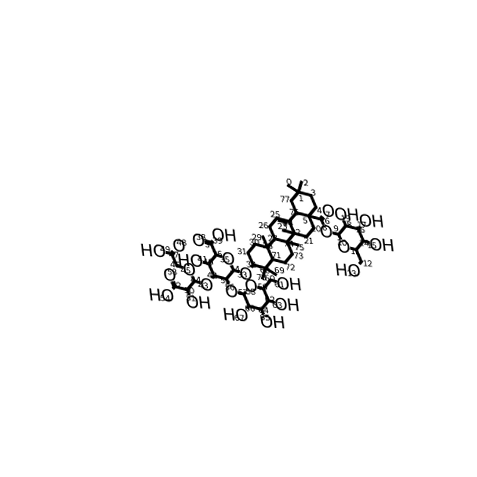 CC1(C)CCC2(C(=O)OC3OC(CO)C(O)C(O)C3O)CCC3(C)C(=CCC4C5(C)CCC(OC6OC(C(=O)O)C(O)C(OC(OCC(=O)O)C(O)C(=O)O)C6OC6OC(CO)C(O)C(O)C6O)C(C)(C)C5CCC43C)C2C1